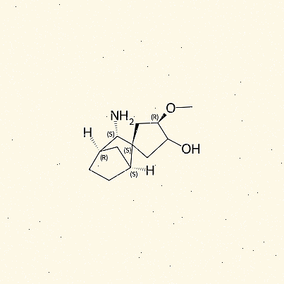 CO[C@@H]1C[C@@]2(CC1O)[C@H]1CC[C@H](C1)[C@@H]2N